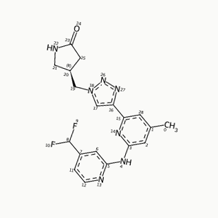 Cc1cc(Nc2cc(C(F)F)ccn2)nc(-c2cn(C[C@H]3CNC(=O)C3)nn2)c1